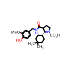 COc1cc(CNC(=O)C2CCN(C(=O)O)[C@@H]2C2CCC(C)(C)CC2)ccc1O